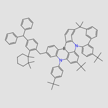 CC(C)(C)c1ccc(N2c3cc(Cc4ccc(C(c5ccccc5)c5ccccc5)cc4C4(C)CCCCC4(C)C)ccc3B3c4ccc5cc4N(c4ccc(C(C)(C)C)cc4-c4cccc(c4)C5(C)C)c4cc(C(C)(C)C)cc2c43)cc1